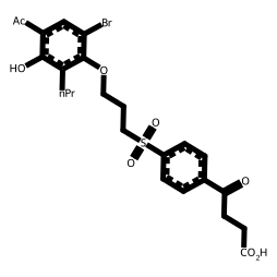 CCCc1c(O)c(C(C)=O)cc(Br)c1OCCCS(=O)(=O)c1ccc(C(=O)CCC(=O)O)cc1